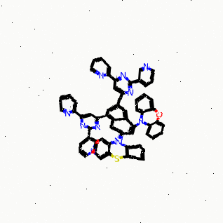 c1ccc(-c2cc(-c3cc(-c4cc(-c5ccccn5)nc(-c5cccnc5)n4)c4cc(N5c6ccccc6Sc6ccccc65)cc(N5c6ccccc6Oc6ccccc65)c4c3)nc(-c3cccnc3)n2)nc1